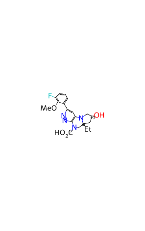 CC[C@]12C[C@@H](O)CN1c1cc(-c3cccc(F)c3OC)nnc1N(C(=O)O)C2